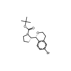 CC(C)(C)OC(=O)N1CCC[C@H]1[C@@H]1OCCc2cc(Br)ccc21